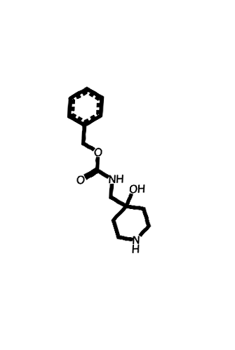 O=C(NCC1(O)CCNCC1)OCc1ccccc1